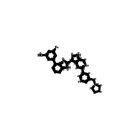 Oc1cc(F)cc(-c2cccc3[nH]c(-c4n[nH]c5cnc(-c6cncc(CN7CCCC7)c6)cc45)nc23)c1